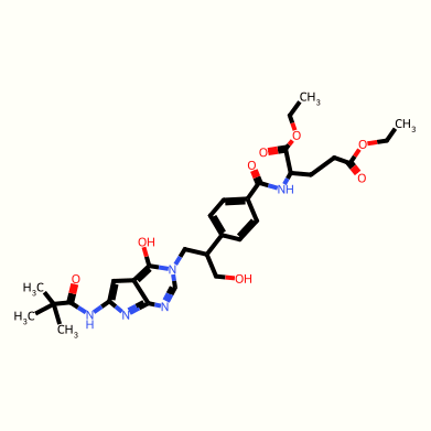 CCOC(=O)CCC(NC(=O)c1ccc(C(CO)Cn2cnc3nc(NC(=O)C(C)(C)C)cc-3c2O)cc1)C(=O)OCC